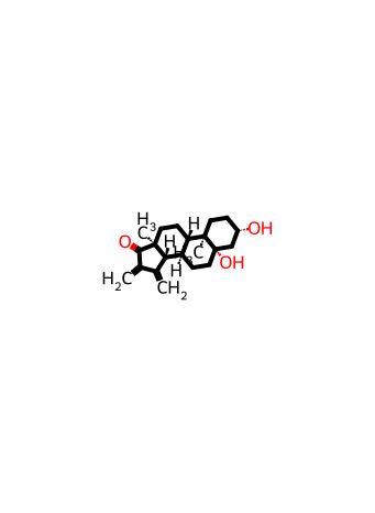 C=C1C(=C)[C@H]2[C@@H]3CC[C@]4(O)C[C@@H](O)CC[C@]4(C)[C@H]3CC[C@]2(C)C1=O